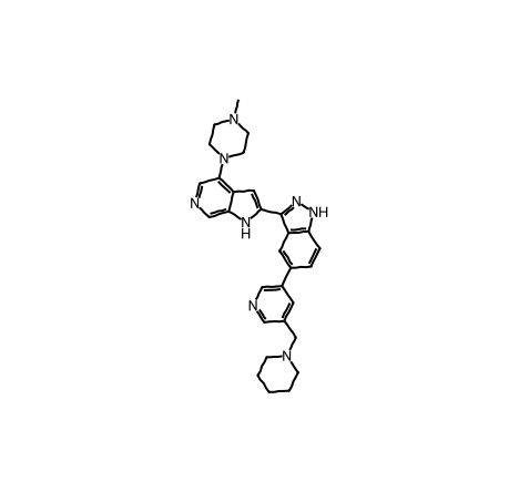 CN1CCN(c2cncc3[nH]c(-c4n[nH]c5ccc(-c6cncc(CN7CCCCC7)c6)cc45)cc23)CC1